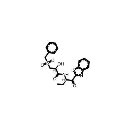 CC[C@@H](NC(=O)[C@H](O)CS(=O)(=O)Cc1ccccc1)C(=O)c1nc2ccccc2s1